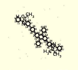 CCC(C)n1c(-c2ccccc2)nc2cc(-c3ccc(-c4ccc5c(-c6ccccc6)c6cc(-c7ccc8c(c7)nc(-c7ccccc7)n8C(C)CC)ccc6c(-c6ccccc6)c5c4)cc3)ccc21